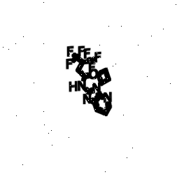 O=C(CC(C(F)(F)F)C(F)(F)F)Nc1nc2cccnc2n1C1CCC1